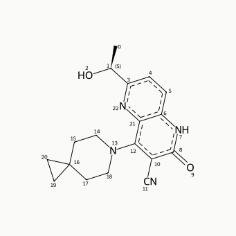 C[C@H](O)c1ccc2[nH]c(=O)c(C#N)c(N3CCC4(CC3)CC4)c2n1